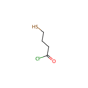 O=C(Cl)CCCS